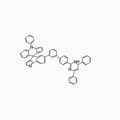 C1=C(c2ccccc2)N=C(c2ccc(-c3cccc(-c4ccc5c(c4)C4(c6ccccc6N(c6ccccc6)c6ccccc64)c4cccnc4-5)c3)cc2)NC1c1ccccc1